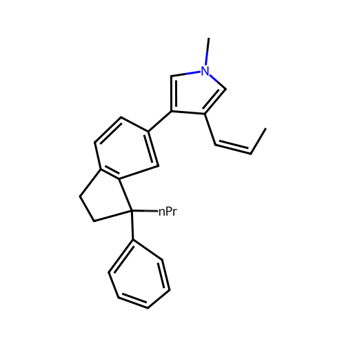 C/C=C\c1cn(C)cc1-c1ccc2c(c1)C(CCC)(c1ccccc1)CC2